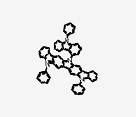 c1ccc(-n2c3ccccc3c3cc4c(cc32)c2cc3c(cc2n4-c2cccc4c2c2ccccc2n4-c2ccccc2)c2ccccc2n3-c2ccccc2)cc1